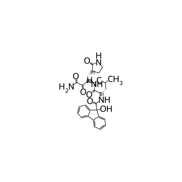 CC(C)C[C@H](NC(=O)C1(O)c2ccccc2-c2ccccc21)C(=O)N[C@@H](C[C@H]1CCNC1=O)C(=O)C(N)=O